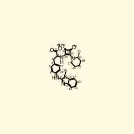 COC(=O)C(Cc1ccc(Nc2nc3ccccc3n2C)cc1)Nc1c(N2CCCC[C@@H]2C)c(=O)c1=O